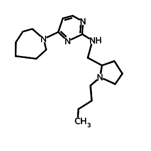 CCCCN1CCCC1CNc1nccc(N2CCCCCC2)n1